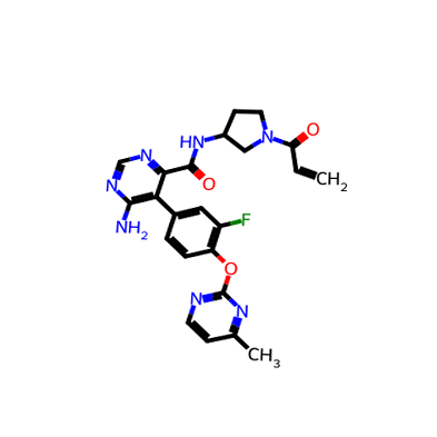 C=CC(=O)N1CCC(NC(=O)c2ncnc(N)c2-c2ccc(Oc3nccc(C)n3)c(F)c2)C1